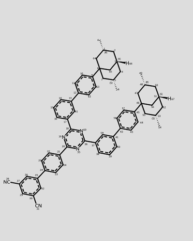 C[C@@H]1C[C@@H]2C[C@H](C)CC(c3ccc(-c4cccc(-c5nc(-c6ccc(-c7cc(C#N)cc(C#N)c7)cc6)nc(-c6cccc(-c7ccc(C89C[C@H](C)C[C@H](C[C@H](C)C8)C9)cc7)c6)n5)c4)cc3)(C1)C2